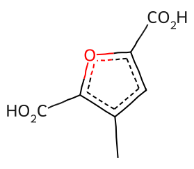 Cc1cc(C(=O)O)oc1C(=O)O